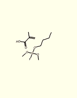 C=C(C)C(=O)O.CCCCO[Si](F)(OC)OC